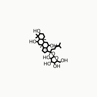 CC(C)=CCC[C@](C)(OC1OC(CO)C(O)C(O)C1O)C1CC[C@]2(C)C1C(O)CC1[C@@]3(C)CCC(O)C(C)(C)C3C(O)C[C@]12C